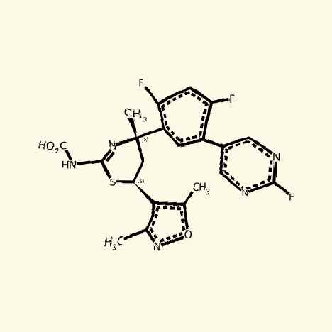 Cc1noc(C)c1[C@@H]1C[C@@](C)(c2cc(-c3cnc(F)nc3)c(F)cc2F)N=C(NC(=O)O)S1